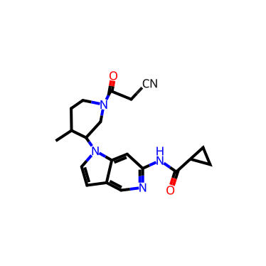 CC1CCN(C(=O)CC#N)CC1n1ccc2cnc(NC(=O)C3CC3)cc21